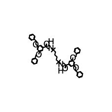 CC(C)(CCCCC(C)(C)NCC(=O)c1cc(OCc2ccccc2)cc(OCc2ccccc2)c1)NCC(=O)c1cc(OCc2ccccc2)cc(OCc2ccccc2)c1